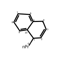 CCCC1C=C[C]c2ccccc21